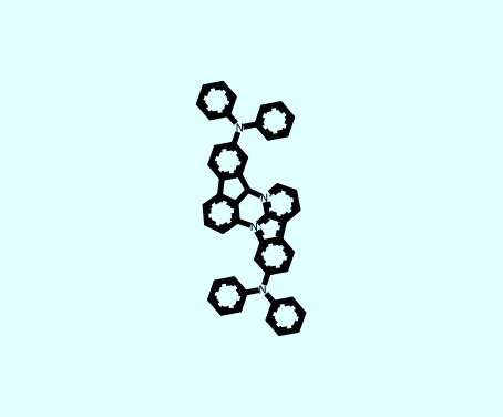 c1ccc(N(c2ccccc2)c2ccc3c(c2)C2c4c-3cccc4-n3c4cc(N(c5ccccc5)c5ccccc5)ccc4c4ccc[n+]2c43)cc1